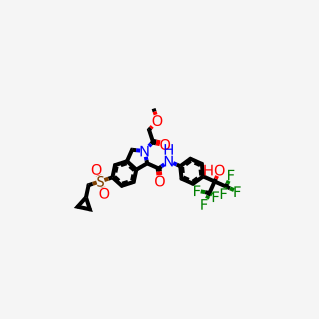 COCC(=O)N1Cc2cc(S(=O)(=O)CC3CC3)ccc2C1C(=O)Nc1ccc(C(O)(C(F)(F)F)C(F)(F)F)cc1